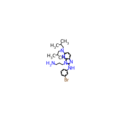 CC(C)CN(CC(C)C)c1ccc2nc(Nc3cccc(Br)c3)n(CCCN)c2n1